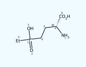 CCP(=O)(O)CC[C@@H](N)C(=O)O